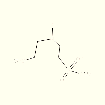 CCN(CCOC)CCS(=O)(=O)OC